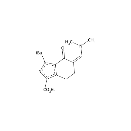 CCOC(=O)c1nn(C(C)(C)C)c2c1CC/C(=C/N(C)C)C2=O